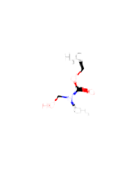 CCOC(=O)N(C)CO